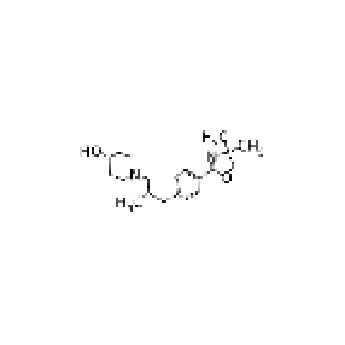 CC(Cc1ccc(C2=NC(C)(C)CO2)cc1)CN1CCC(O)CC1